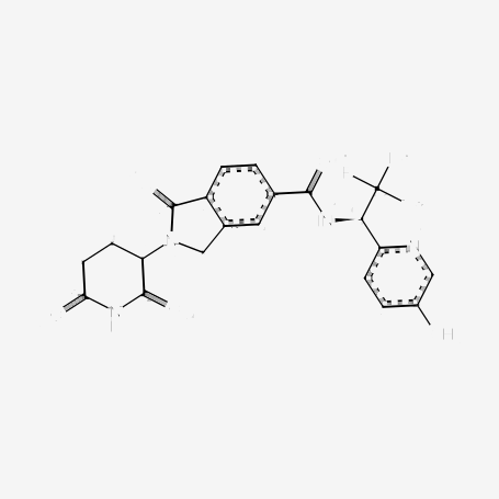 Cc1ccc([C@@H](NC(=O)c2ccc3c(c2)CN(C2CCC(=O)NC2=O)C3=O)C(F)(F)F)nc1